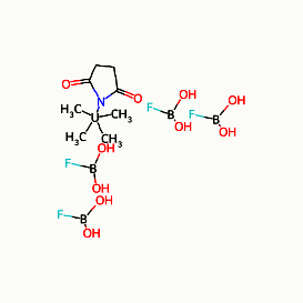 OB(O)F.OB(O)F.OB(O)F.OB(O)F.[CH3][U]([CH3])([CH3])([CH3])[N]1C(=O)CCC1=O